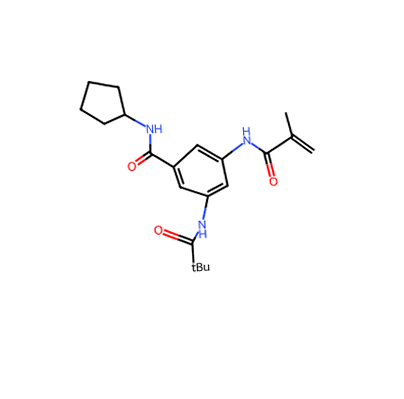 C=C(C)C(=O)Nc1cc(NC(=O)C(C)(C)C)cc(C(=O)NC2CCCC2)c1